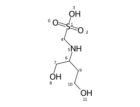 O=S(=O)(O)CNC(CO)CCO